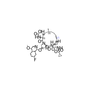 CC[C@@H]1C[C@@H](C)CC/C=C\[C@@H]2C[C@@]2(C(=O)NS(=O)(=O)C2CC2)NC(=O)[C@@H]2C[C@@H](Oc3ncc(OC)c4ccc(F)cc34)CN2C(=O)[C@H]1NC(=O)O